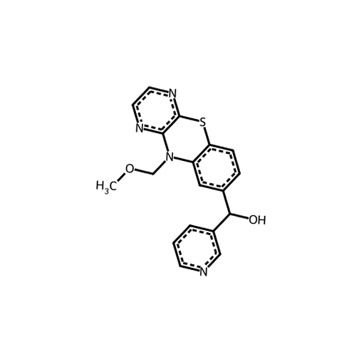 COCN1c2cc(C(O)c3cccnc3)ccc2Sc2nccnc21